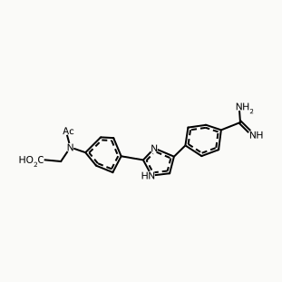 CC(=O)N(CC(=O)O)c1ccc(-c2nc(-c3ccc(C(=N)N)cc3)c[nH]2)cc1